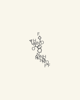 Cn1nc(OC(F)F)cc1Nc1nncn1[C@H]1CCc2sc(NC(=O)C3CC(F)C3)c(C(=O)NCC3CC3)c2C1